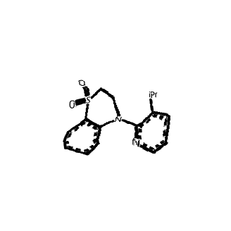 CC(C)c1cccnc1N1CCS(=O)(=O)c2ccccc21